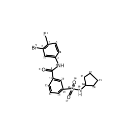 O=C(Nc1ccc(F)c(Br)c1)c1cccc(S(=O)(=O)NC2CCCC2)c1